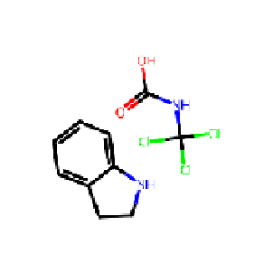 O=C(O)NC(Cl)(Cl)Cl.c1ccc2c(c1)CCN2